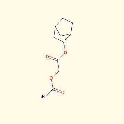 CC(C)C(=O)OCC(=O)OC1CC2CCC1C2